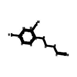 O=CCCCc1ccc(I)cc1I